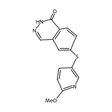 COc1ccc(Sc2ccc3c(=O)[nH]ncc3c2)cn1